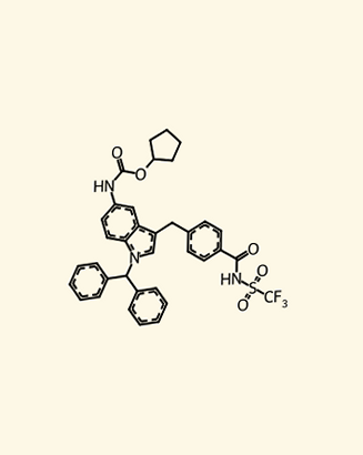 O=C(Nc1ccc2c(c1)c(Cc1ccc(C(=O)NS(=O)(=O)C(F)(F)F)cc1)cn2C(c1ccccc1)c1ccccc1)OC1CCCC1